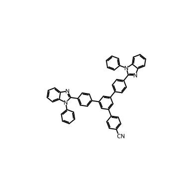 N#Cc1ccc(-c2cc(-c3ccc(-c4nc5ccccc5n4-c4ccccc4)cc3)cc(-c3ccc(-c4nc5ccccc5n4-c4ccccc4)cc3)c2)cc1